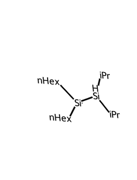 CCCCCC[Si](CCCCCC)[SiH](C(C)C)C(C)C